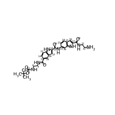 CC(C)(C)OC(=O)NCCNC(=O)c1ccc2[nH]c(C(=O)Nc3ccc4cc(C(=O)NCCN)[nH]c4c3)cc2c1